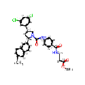 Cc1ccc2cc([C@H]3C[C@@H](c4cc(Cl)cc(Cl)c4)CN3C(=O)Nc3ccc(C(=O)NCCC(=O)OC(C)(C)C)cc3)ccc2c1